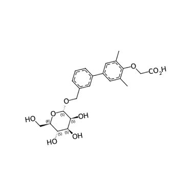 Cc1cc(-c2cccc(CO[C@H]3O[C@H](CO)[C@@H](O)[C@H](O)[C@@H]3O)c2)cc(C)c1OCC(=O)O